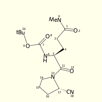 CNC(=O)CC[C@H](NC(=O)OC(C)(C)C)C(=O)N1CCC[C@H]1C#N